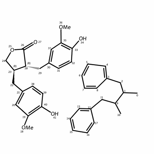 CC(Cc1ccccc1)C(C)Cc1ccccc1.COc1cc(C[C@H]2COC(=O)[C@@H]2Cc2ccc(O)c(OC)c2)ccc1O